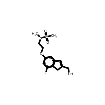 CN(CCOc1cc(F)c2c(c1)C=C(CO)C2)S(C)(=O)=O